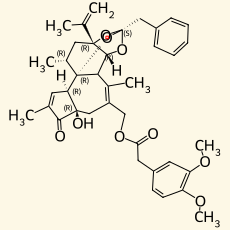 C=C(C)[C@]12C[C@@H](C)[C@@]34O[C@](Cc5ccccc5)(O[C@@H]1C3C(C)=C(COC(=O)Cc1ccc(OC)c(OC)c1)C[C@]1(O)C(=O)C(C)=C[C@@H]41)O2